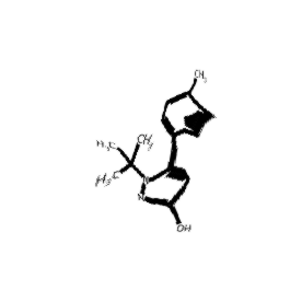 Cc1ccc(-c2cc(O)nn2C(C)(C)C)cc1